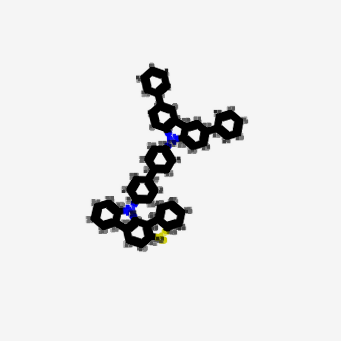 c1ccc(-c2ccc3c(c2)c2cc(-c4ccccc4)ccc2n3-c2ccc(-c3ccc(-n4c5ccccc5c5ccc6sc7ccccc7c6c54)cc3)cc2)cc1